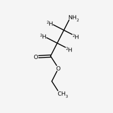 [2H]C([2H])(N)C([2H])([2H])C(=O)OCC